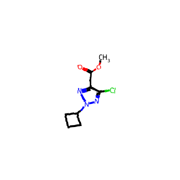 COC(=O)c1nn(C2CCC2)nc1Cl